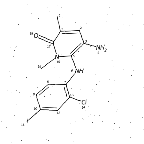 Cc1cc(N)c(Nc2ccc(I)cc2Cl)n(C)c1=O